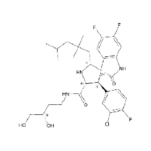 CC(C)CC(C)(C)C[C@H]1N[C@@H](C(=O)NCC[C@H](O)CO)[C@H](c2ccc(F)c(Cl)c2)[C@@]12C(=O)Nc1cc(F)c(F)cc12